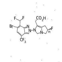 O=C(O)CC1=C2C[C@@H](F)CN2CN1n1cc2c(C(F)(F)F)cc(Br)c(C(F)F)c2n1